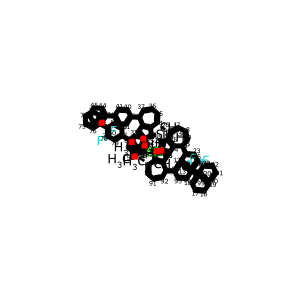 CCC1=CC2=C(C=CC=CC2c2ccc(-c3ccccc3)c(F)c2)[C]12[SiH](C)[C]1(C(CC)=CC3=C1C=CC=CC3c1ccc(-c3ccccc3)c(F)c1)[Hf]21([Cl])([Cl])[C]2(C(CC)=CC3=C2C=CC=CC3c2ccc(-c3ccccc3)c(F)c2)[SiH](C)[C@]12C(CC)=CC1=C2C=CC=CC1c1ccc(-c2ccccc2)c(F)c1